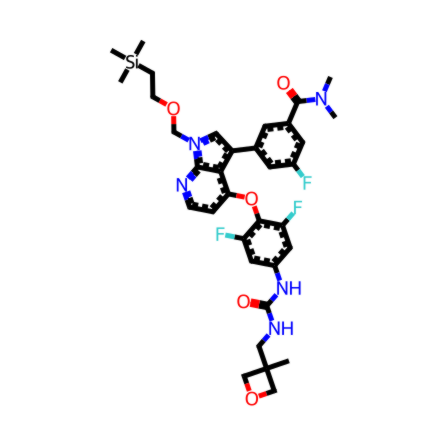 CN(C)C(=O)c1cc(F)cc(-c2cn(COCC[Si](C)(C)C)c3nccc(Oc4c(F)cc(NC(=O)NCC5(C)COC5)cc4F)c23)c1